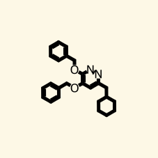 c1ccc(COc2cc(CC3CCCCC3)nnc2OCc2ccccc2)cc1